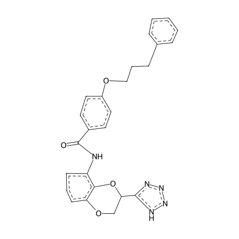 O=C(Nc1cccc2c1OC(c1nnn[nH]1)CO2)c1ccc(OCCCc2ccccc2)cc1